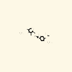 COc1cc2[nH]c([S+]([O-])Cc3ncc(C)c(OC)c3C)nc2cc1OC(F)F